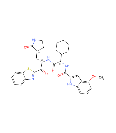 COc1cccc2[nH]c(C(=O)N[C@H](C(=O)N[C@@H](C[C@@H]3CCNC3=O)C(=O)c3nc4ccccc4s3)C3CCCCC3)cc12